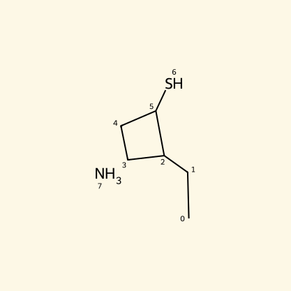 CCC1CCC1S.N